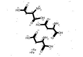 NC(CC(=O)O)C(=O)O.NC(CC(=O)O)C(=O)O.NC(CC(=O)O)C(=O)O.[Fe].[Fe]